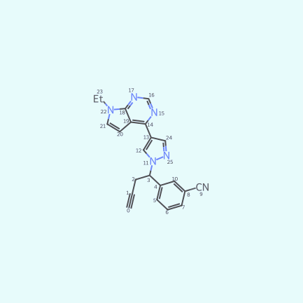 C#CCC(c1cccc(C#N)c1)n1cc(-c2ncnc3c2ccn3CC)cn1